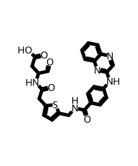 O=CC(CC(=O)O)NC(=O)Cc1ccc(CNC(=O)c2ccc(Nc3cnc4ccccc4n3)cc2)s1